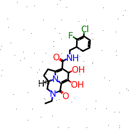 CCN1C[C@@H]2CCC3=C(C(=O)NCC4CC=CC(Cl)=C4F)C(O)C(O)=C(C1=O)N32